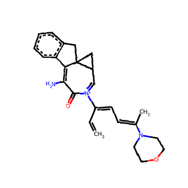 C=C/C(=C\C=C(/C)N1CCOCC1)[N+]1=CC2CC23Cc2ccccc2C3=C(N)C1=O